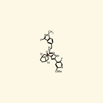 COc1cc(-c2cc(C(=O)N3[C@@H]4CC[C@H]3CC(C(=O)NCc3ccc5c(c3)c(F)nn5C)C4)n[nH]2)c(F)cn1